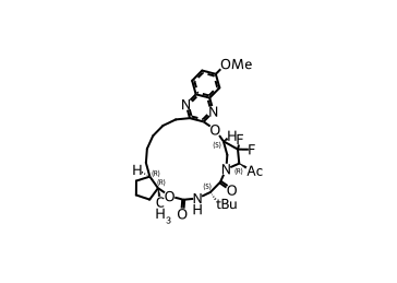 COc1ccc2nc3c(nc2c1)O[C@H]1CN(C(=O)[C@H](C(C)(C)C)NC(=O)O[C@]2(C)CCC[C@H]2CCCCC3)[C@H](C(C)=O)C1(F)F